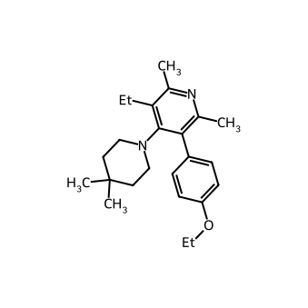 CCOc1ccc(-c2c(C)nc(C)c(CC)c2N2CCC(C)(C)CC2)cc1